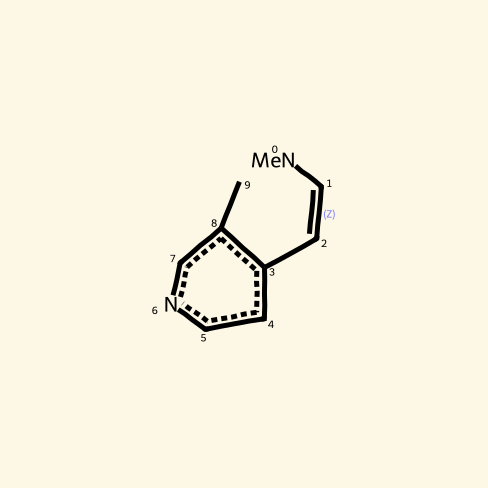 CN/C=C\c1ccncc1C